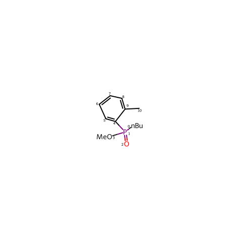 CCCCP(=O)(OC)c1ccccc1C